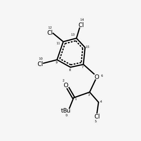 CC(C)(C)C(=O)C(CCl)Oc1cc(Cl)c(Cl)c(Cl)c1